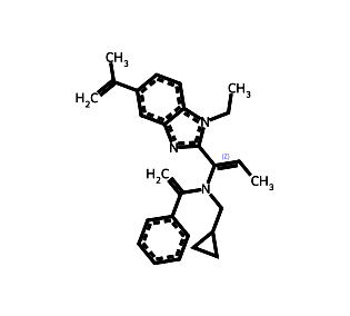 C=C(C)c1ccc2c(c1)nc(/C(=C/C)N(CC1CC1)C(=C)c1ccccc1)n2CC